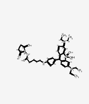 CCN(CC)c1ccc2c(c1)P(=O)(O)C1=CC(=[N+](CC)CC)C=CC1=C2c1ccc(OCCCCC(=O)ON2C(=O)CCC2=O)cc1